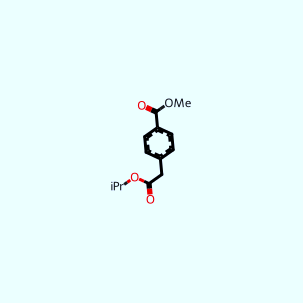 COC(=O)c1ccc(CC(=O)OC(C)C)cc1